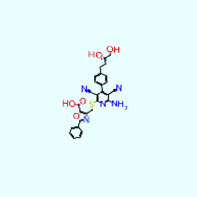 N#Cc1c(N)nc(SCc2nc(-c3ccccc3)oc2C(=O)O)c(C#N)c1-c1ccc(CC[C@H](O)CO)cc1